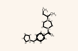 CCC(C)N1CCN(C(=O)c2ccc(CN3CCCC3)cc2)CC1